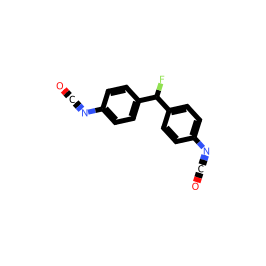 O=C=Nc1ccc(C(F)c2ccc(N=C=O)cc2)cc1